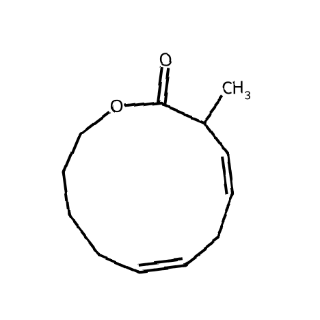 CC1/C=C\C/C=C\CCCCOC1=O